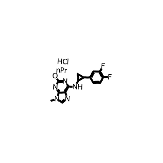 CCCOc1nc(NC2CC2c2ccc(F)c(F)c2)c2ncn(C)c2n1.Cl